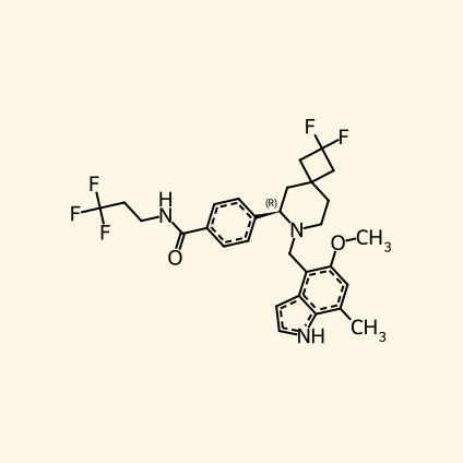 COc1cc(C)c2[nH]ccc2c1CN1CCC2(C[C@@H]1c1ccc(C(=O)NCCC(F)(F)F)cc1)CC(F)(F)C2